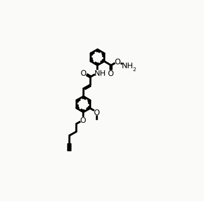 C#CCCCOc1ccc(/C=C/C(=O)Nc2ccccc2C(=O)ON)cc1OC